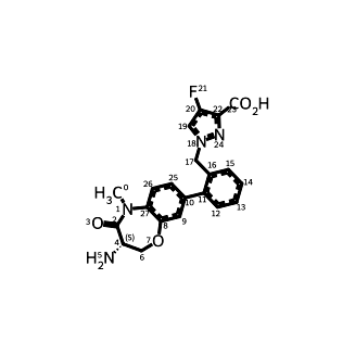 CN1C(=O)[C@@H](N)COc2cc(-c3ccccc3Cn3cc(F)c(C(=O)O)n3)ccc21